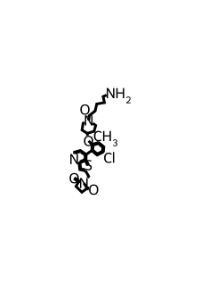 Cc1cc(Cl)cc(-c2ccnc3cc(CN4C(=O)CCC4=O)sc23)c1OC1CCN(C(=O)CCCCN)CC1